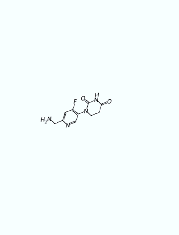 NCc1cc(F)c(N2CCC(=O)NC2=O)cn1